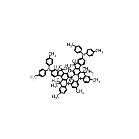 Cc1ccc(N(c2ccc(C)cc2)c2ccc3c(c2)C(C)(C)c2c4c5c6c(c2-3)C(C)(C)c2cc(C)ccc2N6c2cc(C)cc3c2P5(=S)c2c(c5c(c6c2N3c2ccc(C)cc2C6(C)C)-c2ccc(N(c3ccc(C)cc3)c3ccc(C)cc3)cc2C5(C)C)O4)cc1